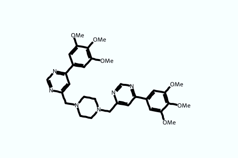 COc1cc(-c2cc(CN3CCN(Cc4cc(-c5cc(OC)c(OC)c(OC)c5)ncn4)CC3)ncn2)cc(OC)c1OC